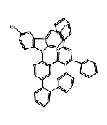 CC(C)(C)c1ccc2c(c1)c1cc(C(C)(C)C)ccc1n2-c1ncc(-c2ccccc2-c2ccccc2)cc1-c1nc(-c2ccccc2)nc(-c2ccccc2)n1